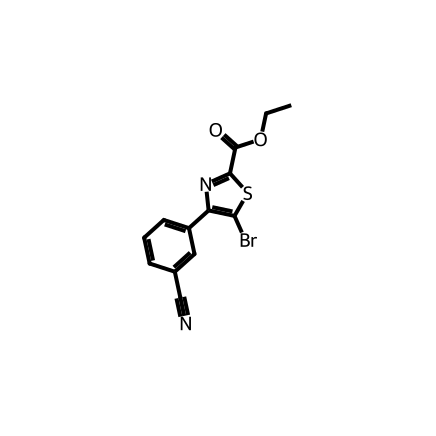 CCOC(=O)c1nc(-c2cccc(C#N)c2)c(Br)s1